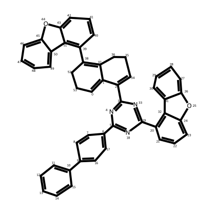 C1=C2C(c3nc(-c4ccc(-c5ccccc5)cc4)nc(-c4cccc5oc6ccccc6c45)n3)=CCCC2=C(c2cccc3oc4ccccc4c23)CC1